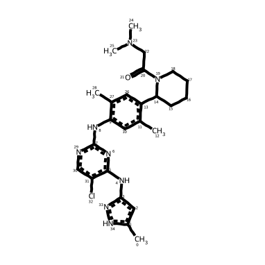 Cc1cc(Nc2nc(Nc3cc(C)c(C4CCCCN4C(=O)CN(C)C)cc3C)ncc2Cl)n[nH]1